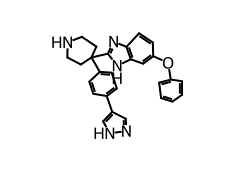 c1ccc(Oc2ccc3nc(C4(c5ccc(-c6cn[nH]c6)cc5)CCNCC4)[nH]c3c2)cc1